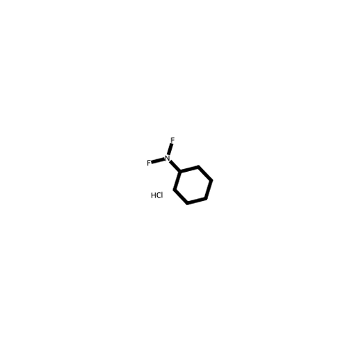 Cl.FN(F)C1CCCCC1